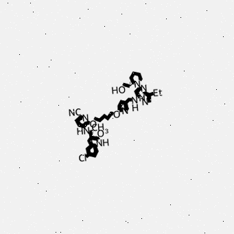 CCc1cnn2c(NCc3ccc(OCCCCCOc4nc(C#N)ccc4N[C@@H](C)c4cc5cc(Cl)ccc5[nH]c4=O)nc3)cc(N3CCCC[C@H]3CCO)nc12